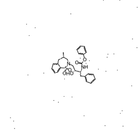 C[C@@H]1Cc2ccccc2S(=O)(=O)N(C[C@@H](O)[C@H](Cc2ccccc2)NC(=O)Oc2ccccc2)C1